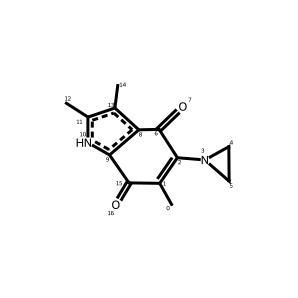 CC1=C(N2CC2)C(=O)c2c([nH]c(C)c2C)C1=O